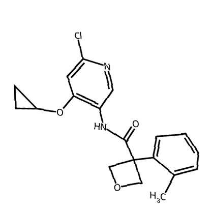 Cc1ccccc1C1(C(=O)Nc2cnc(Cl)cc2OC2CC2)COC1